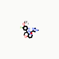 Cn1cnc(C(=O)NC2(c3ccc(OC(F)(F)F)c(F)c3)CCOc3cccnc32)c1